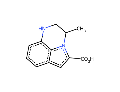 CC1CNc2cccc3cc(C(=O)O)n1c23